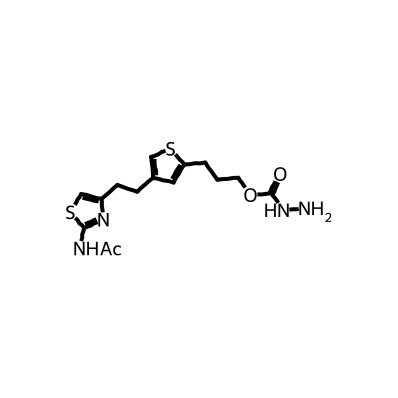 CC(=O)Nc1nc(CCc2csc(CCCOC(=O)NN)c2)cs1